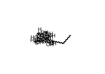 CCCCCCCC/C=C\CCCCCCCC(=O)N[C@@H]1C(O)[C@H](O)[C@@H](CO)O[C@H]1O[C@H]1C(O)[C@@H](NC(C)=O)[C@H](O[C@H]2C(O)[C@H](NC(C)=O)[C@H](O[C@H]3C(O)[C@@H](NC(C)=O)C(O)O[C@@H]3CO)O[C@@H]2CO)O[C@@H]1CO